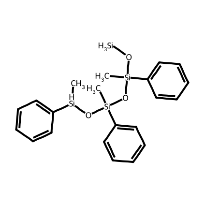 C[SiH](O[Si](C)(O[Si](C)(O[SiH3])c1ccccc1)c1ccccc1)c1ccccc1